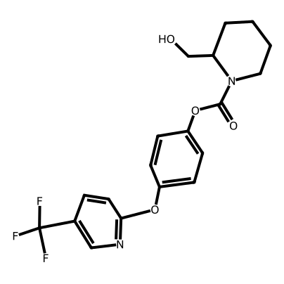 O=C(Oc1ccc(Oc2ccc(C(F)(F)F)cn2)cc1)N1CCCCC1CO